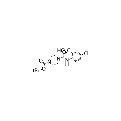 CC(C)(C)OC(=O)N1CCN(C(=O)Nc2ccc(Cl)cc2C(=O)O)CC1